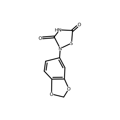 O=c1[nH]c(=O)n(-c2ccc3c(c2)OCO3)s1